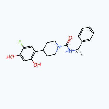 C[C@H](NC(=O)N1CCC(c2cc(F)c(O)cc2O)CC1)c1ccccc1